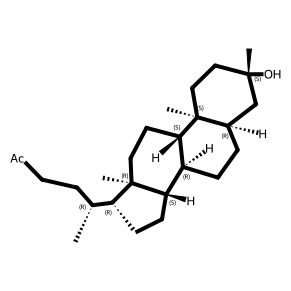 CC(=O)CC[C@@H](C)[C@H]1CC[C@H]2[C@@H]3CC[C@@H]4C[C@@](C)(O)CC[C@]4(C)[C@H]3CC[C@]12C